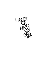 CCc1cc(C(=O)Nc2ncc(S(=O)(=O)C(C)C)s2)ccc1O